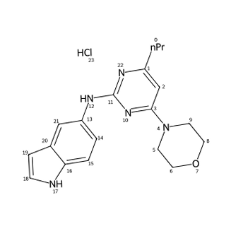 CCCc1cc(N2CCOCC2)nc(Nc2ccc3[nH]ccc3c2)n1.Cl